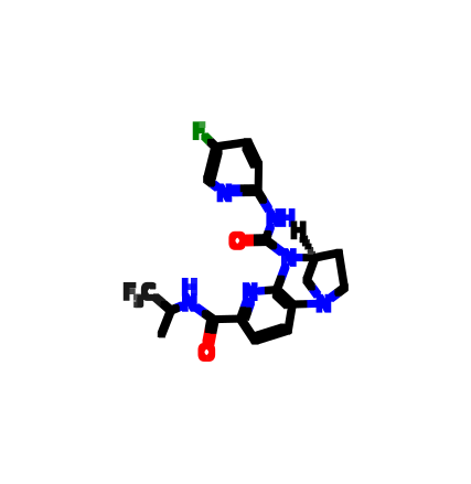 CC(NC(=O)c1ccc2c(n1)N(C(=O)Nc1ccc(F)cn1)[C@H]1CCN2C1)C(F)(F)F